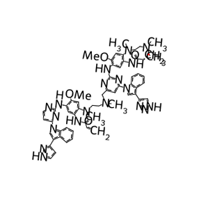 C=CC(=O)Nc1cc(Nc2nc(CN(C)CCN(C)c3cc(OC)c(Nc4nccc(-n5cc(-c6cc[nH]n6)c6ccccc65)n4)cc3NC(=O)C=C)cc(-n3cc(-c4c[nH]nn4)c4ccccc43)n2)c(OC)cc1N(C)CCN(C)C